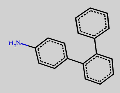 Nc1ccc(-c2ccccc2-c2ccccc2)cc1